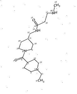 CCN1CCC(C(=O)N2CCC(CNC(=O)CCNC)CC2)CC1